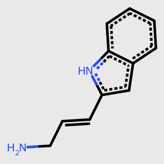 NCC=Cc1cc2ccccc2[nH]1